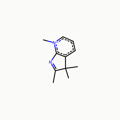 CC1=Nc2c(ccc[n+]2C)C1(C)C